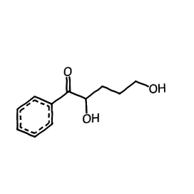 O=C(c1ccccc1)C(O)CCCO